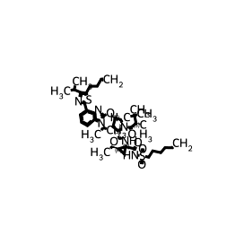 C=CCCCCS(=O)(=O)NC(=O)[C@@]1(NC(=O)[C@@H]2C[C@@H](Oc3nc4c(-c5nc(C(C)C)c(CCC=C)s5)cccc4n3C(C)C)CN2C(=O)[C@@H](C)C(C)(C)C)C[C@H]1CC